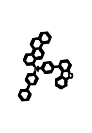 c1ccc(-c2ccc(N(c3ccc(-c4cccc5oc6ccccc6c45)cc3)c3cccc4c3ccc3c5ccccc5ccc43)cc2)cc1